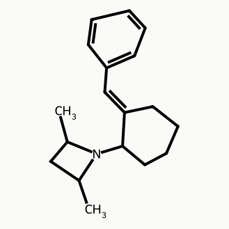 CC1CC(C)N1C1CCCCC1=Cc1ccccc1